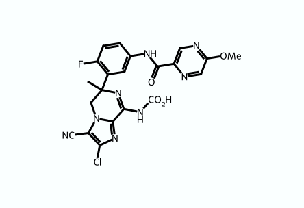 COc1cnc(C(=O)Nc2ccc(F)c(C3(C)Cn4c(nc(Cl)c4C#N)C(NC(=O)O)=N3)c2)cn1